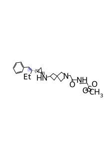 CC/C(=C\c1ccccc1)[C@@H]1C[C@H]1NC1CC2(C1)CN(CC(=O)NCCS(C)(=O)=O)C2